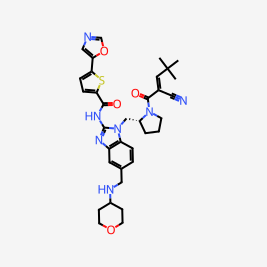 CC(C)(C)C=C(C#N)C(=O)N1CCC[C@@H]1Cn1c(NC(=O)c2ccc(-c3cnco3)s2)nc2cc(CNC3CCOCC3)ccc21